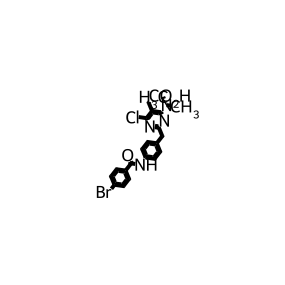 CN(C)c1nc(Cc2ccc(NC(=O)c3ccc(Br)cc3)cc2)nc(Cl)c1CC(=O)O